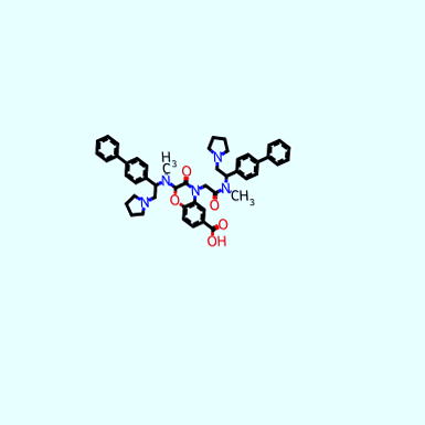 CN(C(=O)CN1C(=O)C(N(C)C(CN2CCCC2)c2ccc(-c3ccccc3)cc2)Oc2ccc(C(=O)O)cc21)C(CN1CCCC1)c1ccc(-c2ccccc2)cc1